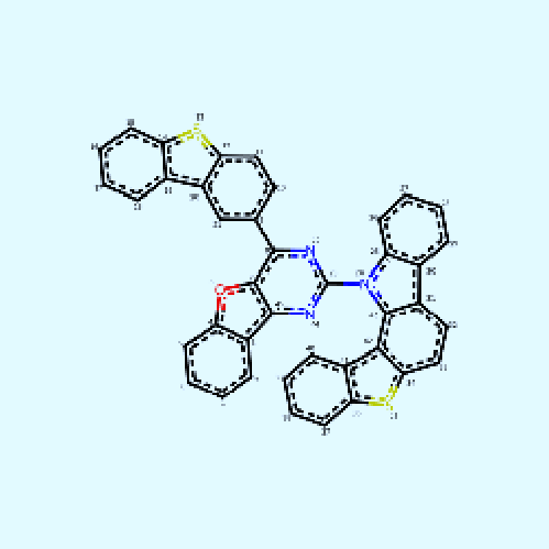 c1ccc2c(c1)oc1c(-c3ccc4sc5ccccc5c4c3)nc(-n3c4ccccc4c4ccc5sc6ccccc6c5c43)nc12